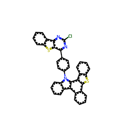 Clc1nc(-c2ccc(-n3c4ccccc4c4c5ccccc5c5sc6ccccc6c5c43)cc2)c2sc3ccccc3c2n1